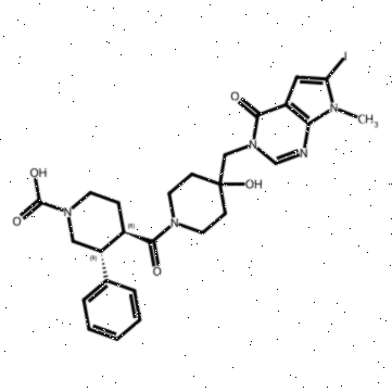 Cn1c(I)cc2c(=O)n(CC3(O)CCN(C(=O)[C@@H]4CCN(C(=O)O)C[C@H]4c4ccccc4)CC3)cnc21